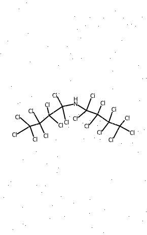 ClC(Cl)(Cl)C(Cl)(Cl)C(Cl)(Cl)C(Cl)(Cl)NC(Cl)(Cl)C(Cl)(Cl)C(Cl)(Cl)C(Cl)(Cl)Cl